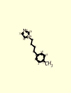 Cc1ccc(CCCCn2ccnc2)cc1